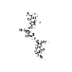 C=CC(=C)NC(=O)c1cc(NC(=O)c2nc(NC(=O)CCCOc3cc4c(cc3OC)C(=O)N3CC(=C)C[C@H]3C=N4)cn2C)cn1C